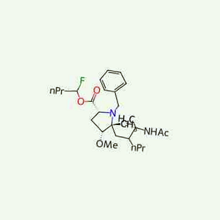 CCCC(F)OC(=O)[C@H]1C[C@@H](OC)[C@@](C)(CC(CCC)C(C)NC(C)=O)N1Cc1ccccc1